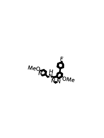 COc1ccc(CNc2ncnc3c(OC)cc(-c4ccc(F)cc4)cc23)cn1